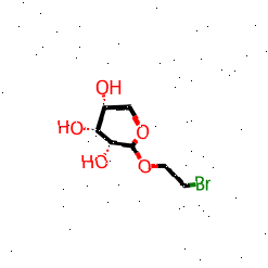 O[C@@H]1[C@H](O)COC(OCCBr)[C@@H]1O